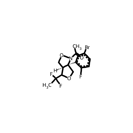 CC(=O)N1OC[C@@H]2C(C(C)(F)F)OC[C@@]21c1cc(Br)ccc1F